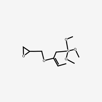 CC=C(C[Si](OC)(OC)OC)OCC1CO1